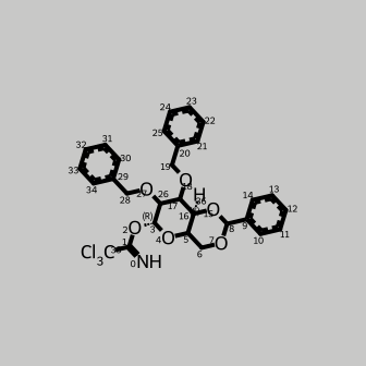 N=C(O[C@H]1OC2COC(c3ccccc3)O[C@@H]2C(OCc2ccccc2)C1OCc1ccccc1)C(Cl)(Cl)Cl